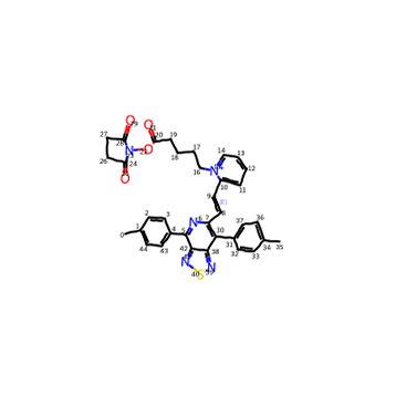 Cc1ccc(-c2nc(/C=C/c3cccc[n+]3CCCCC(=O)ON3C(=O)CCC3=O)c(-c3ccc(C)cc3)c3nsnc23)cc1